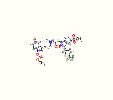 COC(=O)On1cc(C2CCN(CC(O)Cn3nc(-c4ccc(C(F)(F)F)cc4)c4c3CCN(S(C)(=O)=O)C4)CC2)c2c[n+]([O-])ccc21